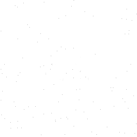 CCO[Si](C)(C=C[Si](C)(C)C)OCC